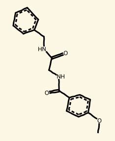 COc1ccc(C(=O)NCC(=O)NCc2ccccc2)cc1